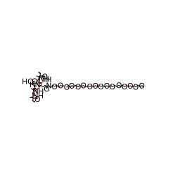 C=CC1=C(C)/C(=C/c2[nH]c(Cc3[nH]c(/C=C4\NC(=O)C(C=C)=C4C)c(C)c3CCC(=O)NCCOCCOCCOCCOCCOCCOCCOCCOCCOCCOCCOCCOCCOCCOCCOCCOC)c(CCC(=O)O)c2C)NC1=O